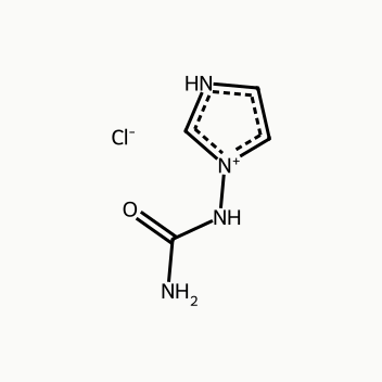 NC(=O)N[n+]1cc[nH]c1.[Cl-]